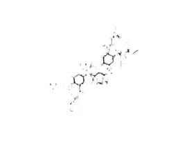 C=CC(=O)NNc1cc(Nc2cc(Nc3ccc(OC)c(C(C)OCCC(C)C)c3)ncn2)c(OC)cc1N(C)CCN(C)C